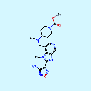 CCn1c(-c2nonc2N)nc2cncc(CN(C(C)=O)C3CCN(C(=O)OC(C)(C)C)CC3)c21